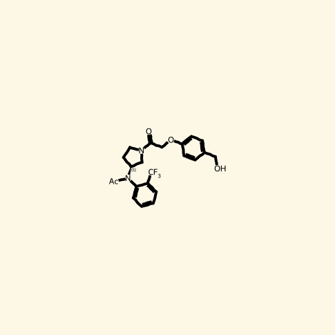 CC(=O)N(c1ccccc1C(F)(F)F)[C@H]1CCN(C(=O)COc2ccc(CO)cc2)C1